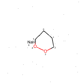 C1CCOOC1.[NaH]